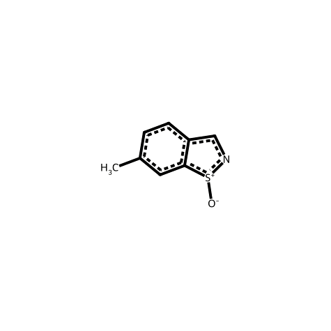 Cc1ccc2cn[s+]([O-])c2c1